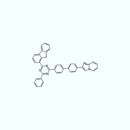 c1ccc(-c2nc(-c3ccc(-c4ccc(-c5cn6ccccc6n5)cc4)cc3)nc(-c3cccc4c3sc3ccccc34)n2)cc1